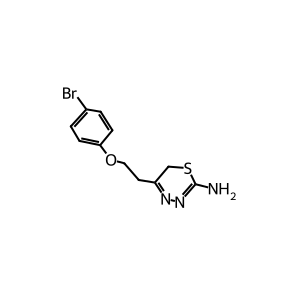 NC1=NN=C(CCOc2ccc(Br)cc2)CS1